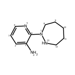 Nc1cccnc1N1CCCCCN1